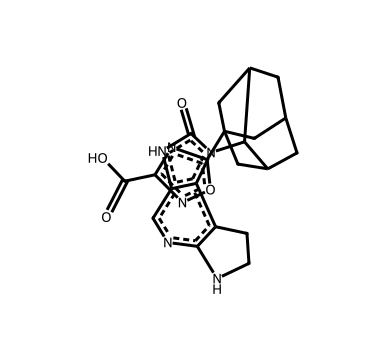 O=C(O)c1noc(C23CC4CC(C2)C(n2c(=O)[nH]c5cnc6c(c52)CCN6)C(C4)C3)n1